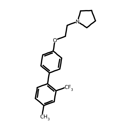 Cc1ccc(-c2ccc(OCCN3CCCC3)cc2)c(C(F)(F)F)c1